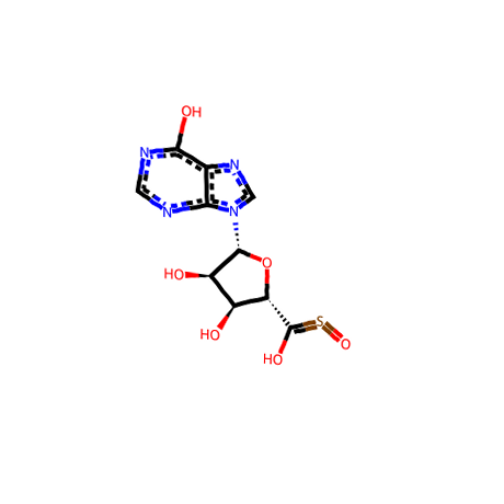 O=S=C(O)[C@H]1O[C@@H](n2cnc3c(O)ncnc32)[C@H](O)[C@@H]1O